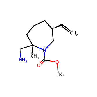 C=C[C@@H]1CCC[C@@](C)(CN)N(C(=O)OC(C)(C)C)C1